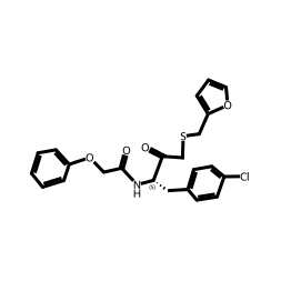 O=C(COc1ccccc1)N[C@@H](Cc1ccc(Cl)cc1)C(=O)CSCc1ccco1